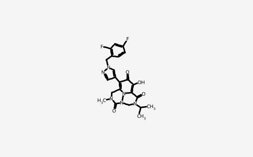 CC(C)N1CN2C(=O)N(C)Cc3c(-c4cnn(Cc5ccc(F)cc5F)c4)c(=O)c(O)c(n32)C1=O